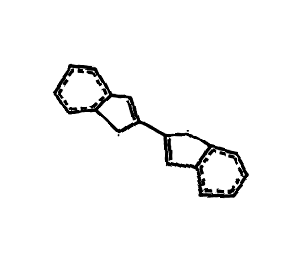 [CH]1C(C2=Cc3ccccc3[CH]2)=Cc2ccccc21